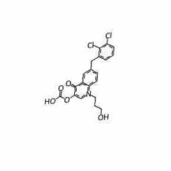 O=C(O)Oc1cn(CCCO)c2ccc(Cc3cccc(Cl)c3Cl)cc2c1=O